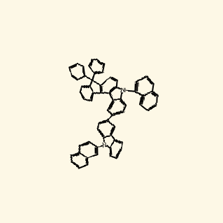 c1ccc(C2(c3ccccc3)c3ccccc3-c3c2ccc2c3c3cc(-c4ccc5c(c4)c4ccccc4n5-c4ccc5ccccc5c4)ccc3n2-c2cccc3ccccc23)cc1